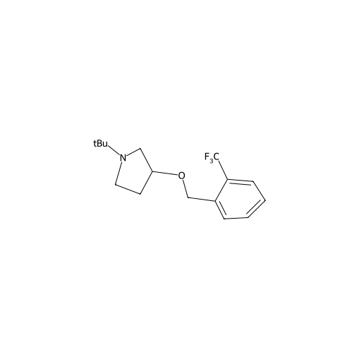 CC(C)(C)N1CCC(OCc2ccccc2C(F)(F)F)C1